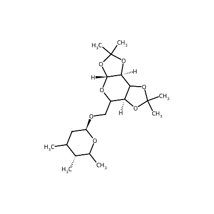 CC1C[C@@H](OCC2O[C@@H]3OC(C)(C)O[C@H]3C3OC(C)(C)O[C@@H]23)OC(C)[C@@H]1C